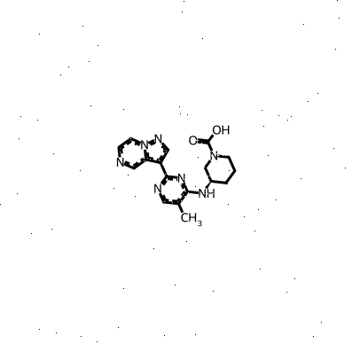 Cc1cnc(-c2cnn3ccncc23)nc1N[C@@H]1CCCN(C(=O)O)C1